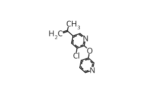 C=C(C)c1cnc(Oc2cccnc2)c(Cl)c1